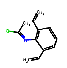 C=Cc1cccc(C=C)c1/N=C(\C)Cl